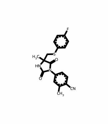 Cc1cc(N2C(=O)NC(C)(CSc3ccc(F)cc3)C2=O)ccc1C#N